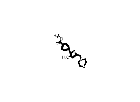 COC(=O)c1ccc(-c2sc(CN3CCOCC3)cc2C)cc1